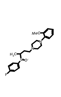 COc1ccccc1N1CCN(CCC(C)[S+]([O-])c2ccc(F)cc2)CC1